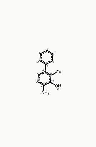 Nc1ccc(-c2ccccc2)c(F)c1O